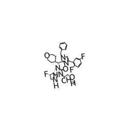 CC(CO)NC(=O)N(C[C@@H]1CNC[C@@H]1F)[C@@H](c1nc(-c2cc(F)ccc2F)cn1Cc1ccccc1)C1CCOCC1